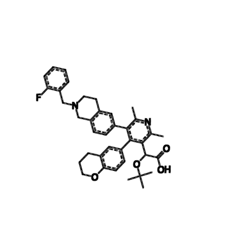 Cc1nc(C)c(C(OC(C)(C)C)C(=O)O)c(-c2ccc3c(c2)CCCO3)c1-c1ccc2c(c1)CCN(Cc1ccccc1F)C2